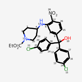 CCOC(=O)N1CCC(Nc2cc(C(O)(c3ccc(Cl)cc3)c3ccc(Cl)cc3)ccc2[N+](=O)[O-])CC1